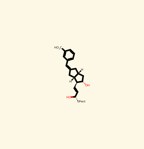 CCCCC[C@H](O)/C=C/[C@H]1[C@@H]2CC(=Cc3cccc(C(=O)O)c3)C[C@@H]2C[C@@H]1O